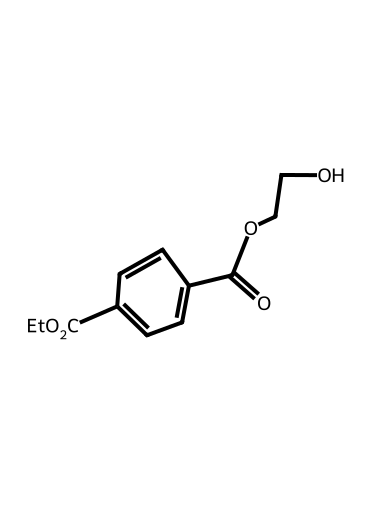 CCOC(=O)c1ccc(C(=O)OCCO)cc1